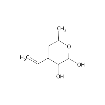 C=CC1CC(C)OC(O)C1O